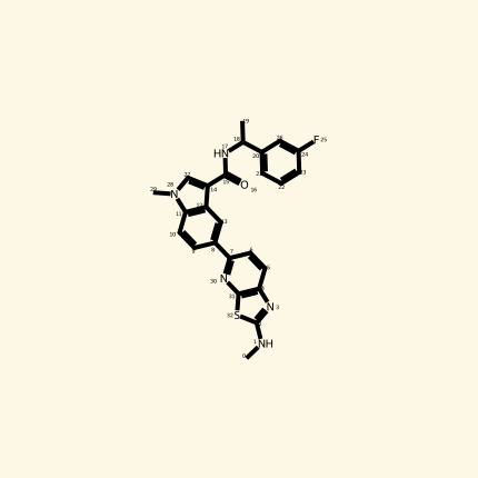 CNc1nc2ccc(-c3ccc4c(c3)c(C(=O)NC(C)c3cccc(F)c3)cn4C)nc2s1